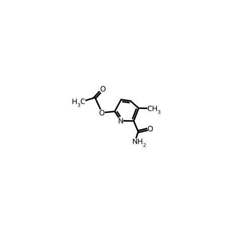 CC(=O)Oc1ccc(C)c(C(N)=O)n1